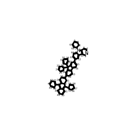 C1=CCC(n2c3ccncc3c3cc(-c4ccc5c(c4)C(c4ccccc4)(c4ccccc4)c4cc(C6=CC=C7C(c8ccccc8)=c8ccccc8=C(c8ccccc8)C7C6)ccc4-5)ccc32)C=C1